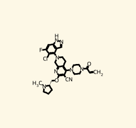 C=CC(=O)N1CCN(c2c(C#N)c(OC[C@@H]3CCCN3C)nc3c2CCN(c2c(Cl)c(F)cc4[nH]ncc24)C3)CC1